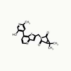 Cc1cc(-c2ccnc3cc(CN4C(=O)C5C(C4=O)C5(C)C)sc23)c(O)cn1